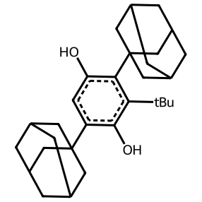 CC(C)(C)c1c(O)c(C23CC4CC(CC(C4)C2)C3)cc(O)c1C12CC3CC(CC(C3)C1)C2